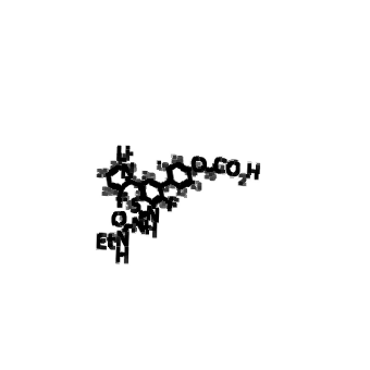 CCNC(=O)Nc1nc2c(F)c(-c3ccc(OCC(=O)O)cc3)cc(-c3ncccc3F)c2s1.[Li]